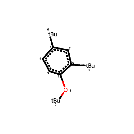 CC(C)(C)Oc1ccc(C(C)(C)C)cc1C(C)(C)C